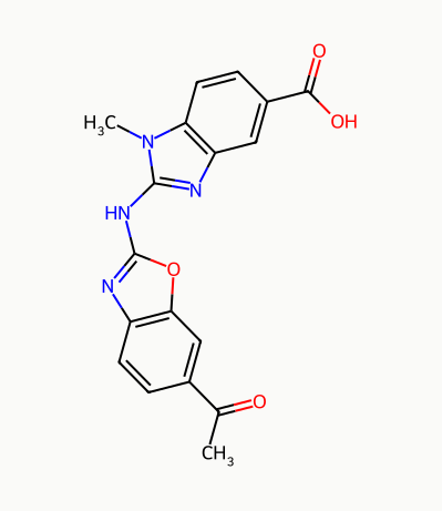 CC(=O)c1ccc2nc(Nc3nc4cc(C(=O)O)ccc4n3C)oc2c1